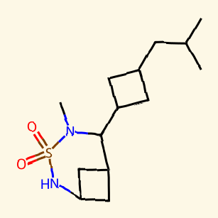 CC(C)CC1CC(C2C3CC(C3)NS(=O)(=O)N2C)C1